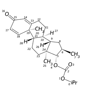 CC(C)OC(=O)O[C@H]1[C@H](C)C[C@H]2[C@@H]3CCC4=CC(=O)C=C[C@]4(C)[C@H]3CC[C@@]21C